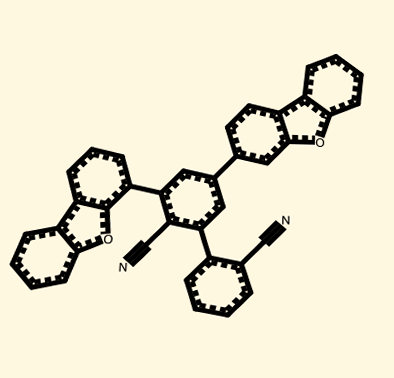 N#Cc1ccccc1-c1cc(-c2ccc3c(c2)oc2ccccc23)cc(-c2cccc3c2oc2ccccc23)c1C#N